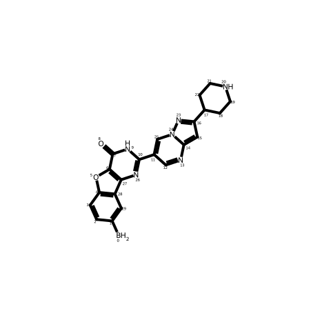 Bc1ccc2oc3c(=O)[nH]c(-c4cnc5cc(C6CCNCC6)nn5c4)nc3c2c1